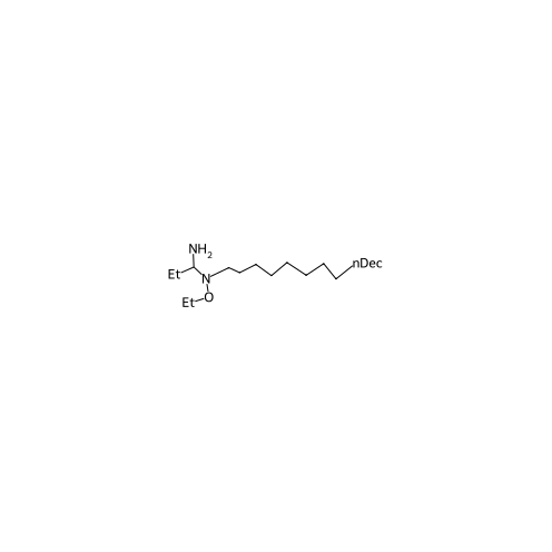 CCCCCCCCCCCCCCCCCCN(OCC)C(N)CC